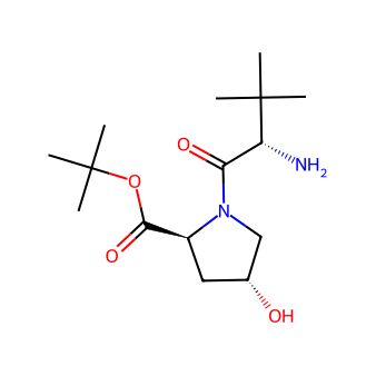 CC(C)(C)OC(=O)[C@@H]1C[C@@H](O)CN1C(=O)[C@@H](N)C(C)(C)C